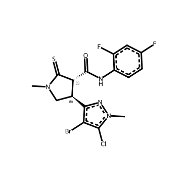 CN1C[C@H](c2nn(C)c(Cl)c2Br)[C@@H](C(=O)Nc2ccc(F)cc2F)C1=S